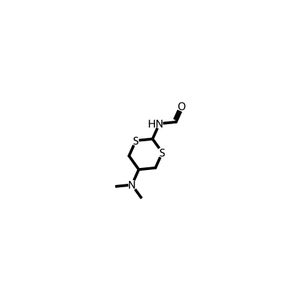 CN(C)C1CSC(NC=O)SC1